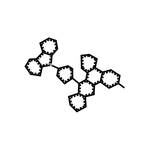 Cc1ccc2c3ccccc3c3c(-c4ccc(-n5c6ccccc6c6ccccc65)cc4)c4ccccc4cc3c2c1